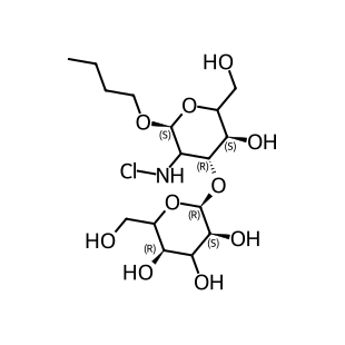 CCCCO[C@H]1OC(CO)[C@@H](O)[C@H](O[C@@H]2OC(CO)[C@H](O)C(O)[C@@H]2O)C1NCl